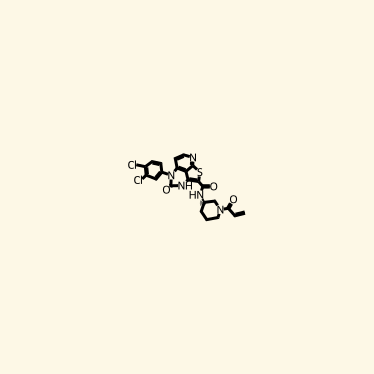 C=CC(=O)N1CCC[C@@H](NC(=O)c2sc3nccc4c3c2NC(=O)N4c2ccc(Cl)c(Cl)c2)C1